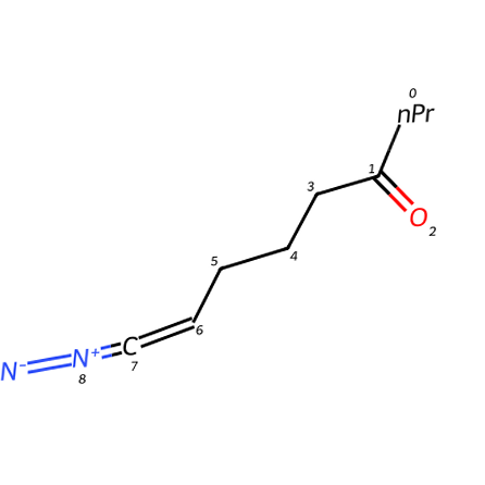 CCCC(=O)CCCC=C=[N+]=[N-]